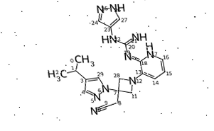 CC(C)c1cnn(C2(CC#N)CN(c3ccc[nH]/c3=N\C(=N)Nc3cn[nH]c3)C2)c1